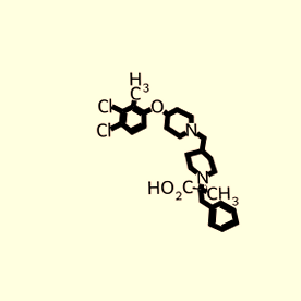 Cc1c(OC2CCN(CC3CCN([C@@](C)(Cc4ccccc4)C(=O)O)CC3)CC2)ccc(Cl)c1Cl